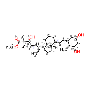 C=C(/C=C/[C@H](O)C(C)(C)C(=O)OCCCC)[C@H]1CC[C@H]2/C(=C/C=C3/C[C@@H](O)C[C@H](O)C3=C)CCC[C@]12C